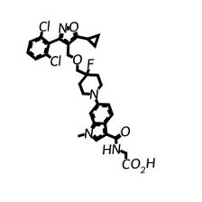 Cn1cc(C(=O)NCC(=O)O)c2ccc(N3CCC(F)(COCc4c(-c5c(Cl)cccc5Cl)noc4C4CC4)CC3)cc21